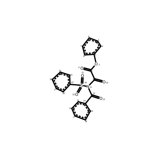 O=C(Oc1ccccc1)C(=O)N(C(=O)c1ccccc1)S(=O)(=O)c1ccccc1